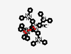 [C-]#[N+]c1cc(-n2c3ccc(-c4nc(-c5ccccc5)nc(-c5ccccc5)n4)cc3c3cc(-c4nc(-c5ccccc5)nc(-c5ccccc5)n4)ccc32)c(-n2c3ccc(-c4nc(-c5ccccc5)nc(-c5ccccc5)n4)cc3c3cc(-c4nc(-c5ccccc5)nc(-c5ccccc5)n4)ccc32)cc1-c1cc(-c2ccccc2)nc(-c2ccccc2)c1